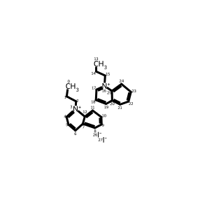 CCC[n+]1cccc2ccccc21.CCC[n+]1cccc2ccccc21.[I-].[I-]